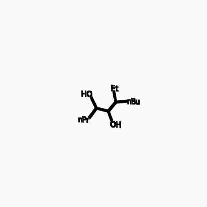 CCCCC(CC)C(O)C(O)CCC